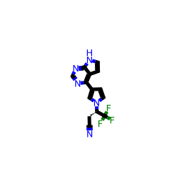 N#CC[C@H](n1ccc(-c2ncnc3[nH]ccc23)c1)C(F)(F)F